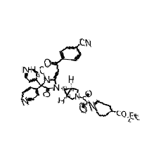 CCOC(=O)C1CCN(S(=O)(=O)N2C[C@@H]3[C@H](C2)[C@H]3N2C(=O)C(c3ccncc3)(c3ccncc3)N(C)C2=CC(=O)c2ccc(C#N)cc2)CC1